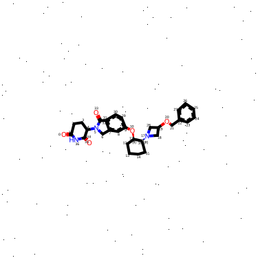 O=C1CCC(N2Cc3cc(O[C@@H]4CCCC[C@H]4N4CC(OCc5ccccc5)C4)ccc3C2=O)C(=O)N1